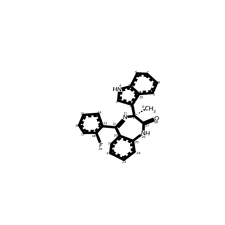 C[C@@]1(c2c[nH]c3ccccc23)N=C(c2ccccc2F)c2ccccc2NC1=O